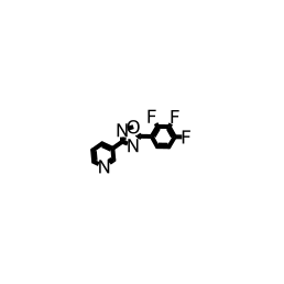 Fc1ccc(-c2nc(-c3cccnc3)no2)c(F)c1F